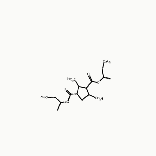 COCC(C)OC(=O)C1CC(C(=O)O)C(C(=O)OC(C)COC)C1C(=O)O